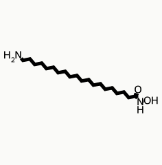 NCCCCCCCCCCCCCCCCCCCC(=O)NO